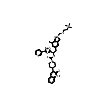 Cc1cc(CC(OC(=O)N2CCC(c3cc4ccccc4[nH]c3=O)CC2)c2nc(-c3cccnc3)no2)cc2cn(COCC[Si](C)(C)C)nc12